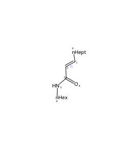 CCCCCCC/C=C/C(=O)NCCCCCC